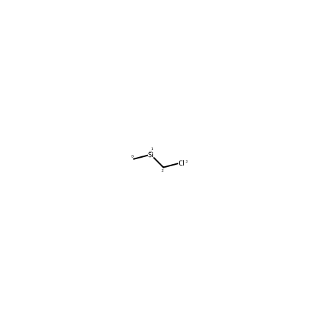 C[Si]CCl